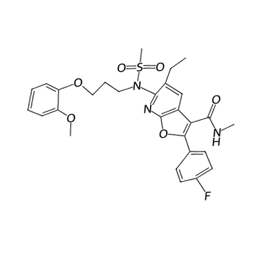 CCc1cc2c(C(=O)NC)c(-c3ccc(F)cc3)oc2nc1N(CCCOc1ccccc1OC)S(C)(=O)=O